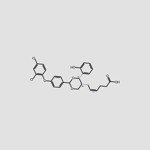 O=C(O)CC/C=C\C[C@@H]1COC(c2ccc(Oc3ccc(Cl)cc3Cl)cc2)O[C@@H]1c1ccccc1O